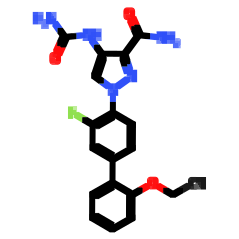 N#CCOc1ccccc1-c1ccc(-n2cc(NC(N)=O)c(C(N)=O)n2)c(F)c1